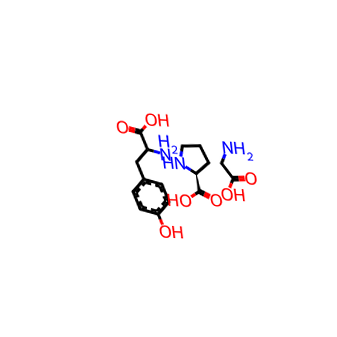 NC(Cc1ccc(O)cc1)C(=O)O.NCC(=O)O.O=C(O)[C@@H]1CCCN1